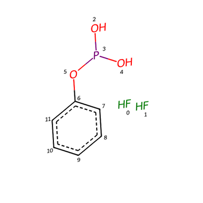 F.F.OP(O)Oc1ccccc1